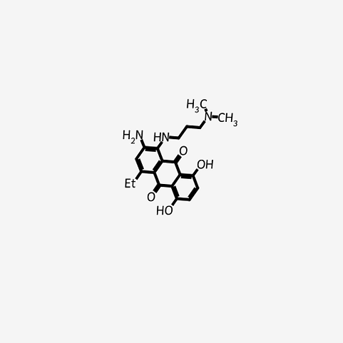 CCc1cc(N)c(NCCCN(C)C)c2c1C(=O)c1c(O)ccc(O)c1C2=O